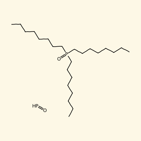 CCCCCCCCP(=O)(CCCCCCCC)CCCCCCCC.O=P